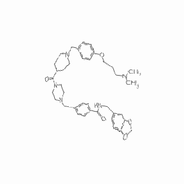 CN(C)CCCOc1ccc(CN2CCC(C(=O)N3CCN(Cc4ccc(C(=O)NCc5ccc6c(c5)OCO6)cc4)CC3)CC2)cc1